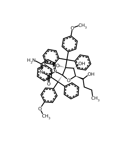 CCCC(O)[C@H]1O[C@](n2ccc(N)nc2=O)(C(c2ccccc2)(c2ccccc2)c2ccc(OC)cc2)[C@@](O)(C(c2ccccc2)(c2ccccc2)c2ccc(OC)cc2)[C@@H]1O